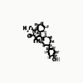 Cn1c(=O)c(C#N)c(N2CCCC(c3ccc(O)cc3)CC2)c2ccccc21